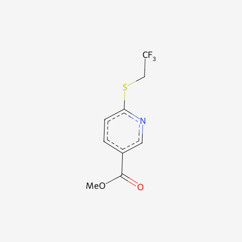 COC(=O)c1ccc(SCC(F)(F)F)nc1